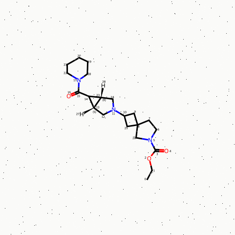 CCOC(=O)N1CCC2(CC(N3C[C@@H]4C(C(=O)N5CCCCC5)[C@@H]4C3)C2)C1